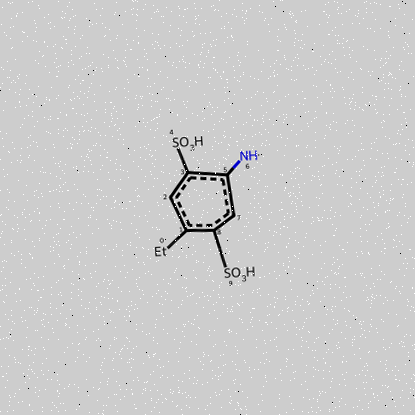 CCc1cc(S(=O)(=O)O)c([NH])cc1S(=O)(=O)O